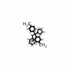 Cc1ccc(C(CC2CC3CCN2CC3)(c2ccc(C)cc2)C2CCCC2)cc1